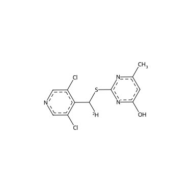 [2H]C(Sc1nc(C)cc(O)n1)c1c(Cl)cncc1Cl